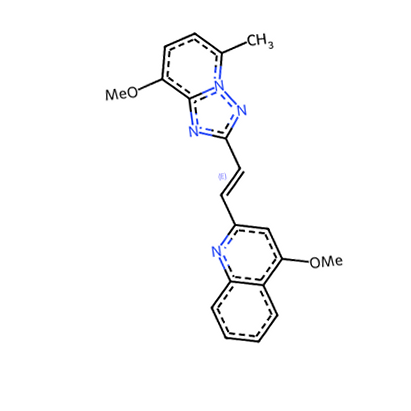 COc1cc(/C=C/c2nc3c(OC)ccc(C)n3n2)nc2ccccc12